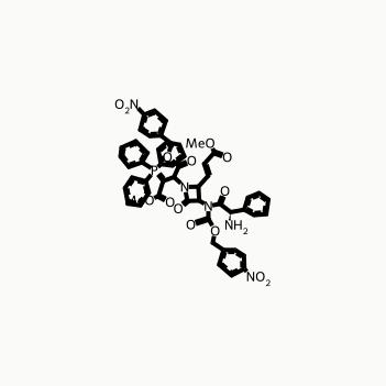 COC(=O)C=CC1C(N(C(=O)OCc2ccc([N+](=O)[O-])cc2)C(=O)[C@@H](N)c2ccccc2)C(=O)N1C(C(=O)OCc1ccc([N+](=O)[O-])cc1)C(C(=O)OC)=P(c1ccccc1)(c1ccccc1)c1ccccc1